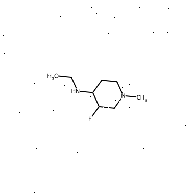 CCNC1CCN(C)CC1F